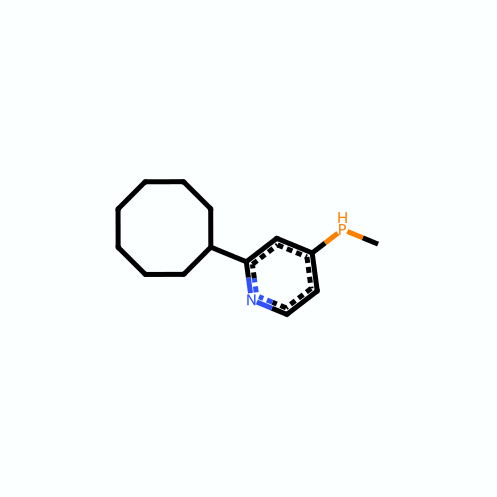 CPc1ccnc(C2CCCCCCC2)c1